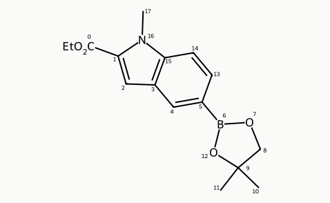 CCOC(=O)c1cc2cc(B3OCC(C)(C)O3)ccc2n1C